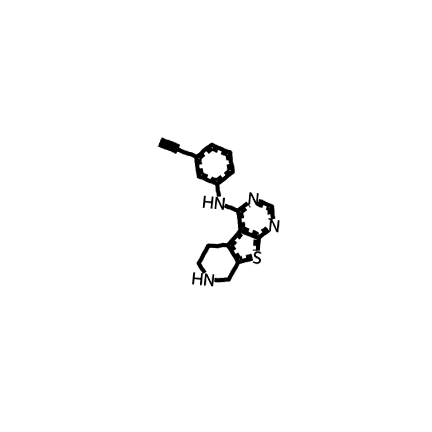 C#Cc1cccc(Nc2ncnc3sc4c(c23)CCNC4)c1